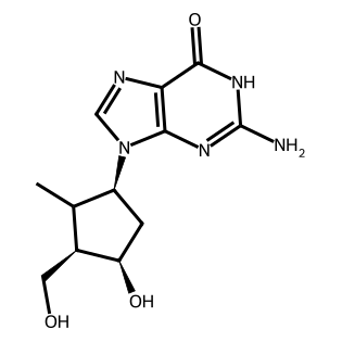 CC1[C@H](CO)[C@H](O)C[C@@H]1n1cnc2c(=O)[nH]c(N)nc21